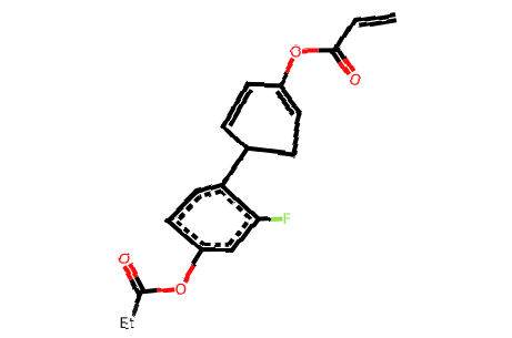 C=CC(=O)OC1=CCC(c2ccc(OC(=O)CC)cc2F)C=C1